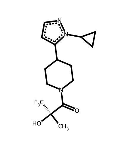 C[C@@](O)(C(=O)N1CCC(c2ccnn2C2CC2)CC1)C(F)(F)F